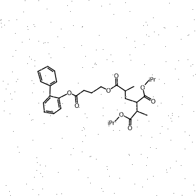 CC(C)OC(=O)C(C)C(CC(C)C(=O)OCCCC(=O)Oc1ccccc1-c1ccccc1)C(=O)OC(C)C